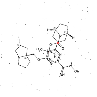 CC(C)(C)OC(=O)N1[C@@H]2CC[C@H]1CN(c1nc(OC[C@@]34CCCN3C[C@H](F)C4)nc(C(=N)NO)n1)C2